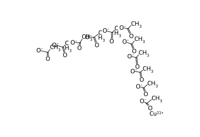 CC(=O)[O-].CC(=O)[O-].CC(=O)[O-].CC(=O)[O-].CC(=O)[O-].CC(=O)[O-].CC(=O)[O-].CC(=O)[O-].CC(=O)[O-].CC(=O)[O-].CC(=O)[O-].[Cu+11]